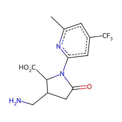 Cc1cc(C(F)(F)F)cc(N2C(=O)CC(CN)C2C(=O)O)n1